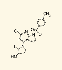 Cc1ccc(S(=O)(=O)n2ccc3c(N4CCC(O)C4I)nc(Cl)nc32)cc1